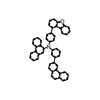 c1cc(-c2ccc3ccc4ccccc4c3c2)cc(N(c2ccc(-c3cccc4oc5ccccc5c34)cc2)c2cc3ccccc3c3ccccc23)c1